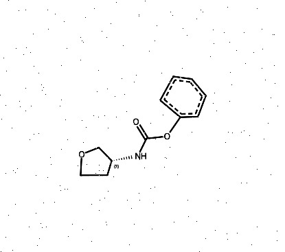 O=C(N[C@@H]1CCOC1)Oc1ccccc1